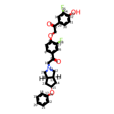 O=C(COc1ccc(C(=O)CN2C[C@H]3C[C@H](Oc4ccccc4)C[C@H]3C2)cc1F)c1ccc(O)c(F)c1